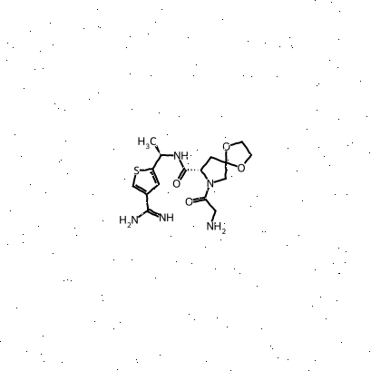 C[C@@H](NC(=O)[C@@H]1CC2(CN1C(=O)CN)OCCO2)c1cc(C(=N)N)cs1